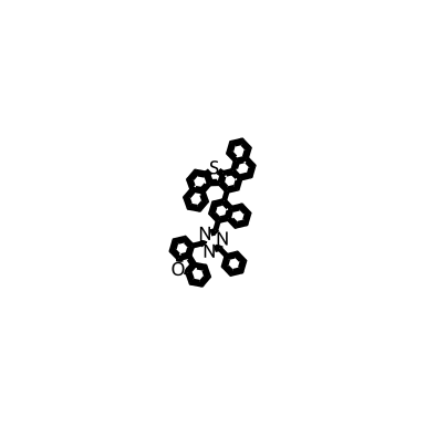 c1ccc(-c2nc(-c3ccc(-c4cc5ccc6ccccc6c5c5sc6ccc7ccccc7c6c45)c4ccccc34)nc(-c3cccc4oc5ccccc5c34)n2)cc1